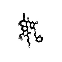 CCOc1cc2ncc(C#N)c(Nc3ccc(OCc4ccccn4)c(Cl)c3)c2cc1NC(=O)/C=C/CI